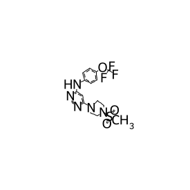 CS(=O)(=O)N1CCN(c2cc(Nc3ccc(OC(F)(F)F)cc3)ncn2)CC1